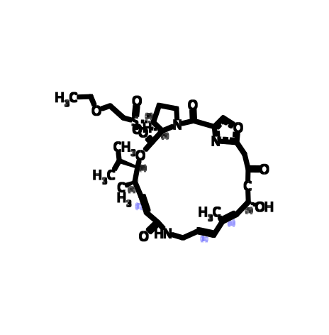 CCOCCS(=O)(=O)[C@@H]1CCN2C(=O)c3coc(n3)CC(=O)C[C@H](O)/C=C(C)/C=C/CNC(=O)/C=C/[C@@H](C)[C@@H](C(C)C)OC(=O)[C@@H]12